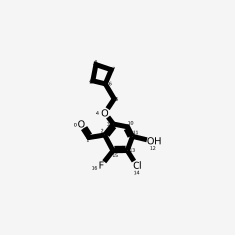 O=Cc1c(OCC2CCC2)cc(O)c(Cl)c1F